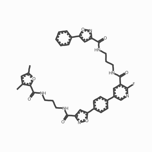 Cc1cc(C)c(C(=O)NCCCNC(=O)c2cc(-c3ccc(-c4cnc(F)c(C(=O)NCCCNC(=O)c5cc(-c6ccccc6)on5)c4)cc3)on2)o1